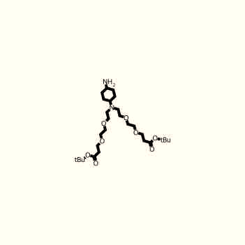 CC(C)(C)OC(=O)CCOCCOCCN(CCOCCOCCC(=O)OC(C)(C)C)C1CCC(N)CC1